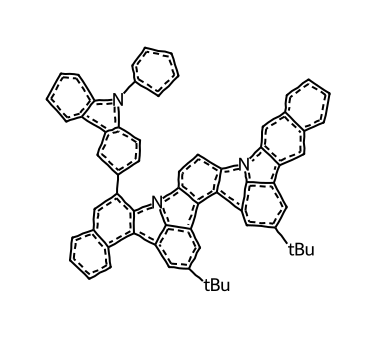 CC(C)(C)c1cc2c3cc4ccccc4cc3n3c4ccc5c(c6cc(C(C)(C)C)cc7c8c9ccccc9cc(-c9ccc%10c(c9)c9ccccc9n%10-c9ccccc9)c8n5c67)c4c(c1)c23